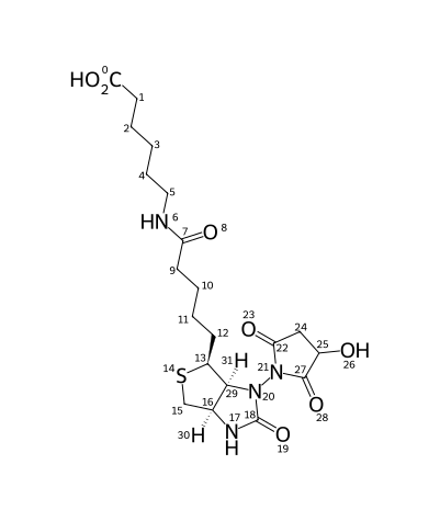 O=C(O)CCCCCNC(=O)CCCC[C@@H]1SC[C@@H]2NC(=O)N(N3C(=O)CC(O)C3=O)[C@@H]21